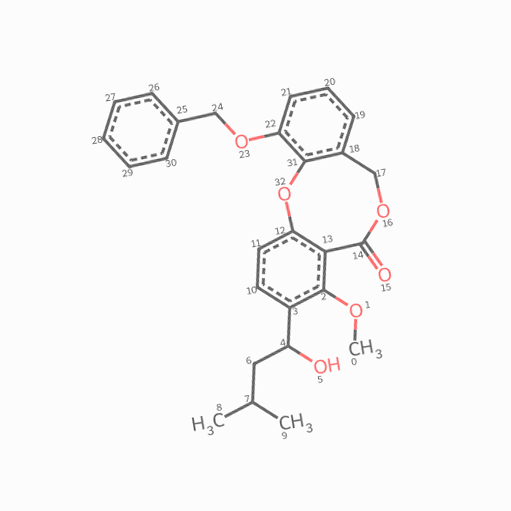 COc1c(C(O)CC(C)C)ccc2c1C(=O)OCc1cccc(OCc3ccccc3)c1O2